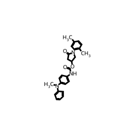 Cc1ccc(C)c(N2CC(OC(=O)Nc3ccc(N(C)c4ccccc4)cc3)CC2=O)c1